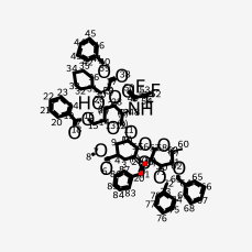 C=C[C@H]1CC(C(=O)OC)C[C@@H](O[C@@H]2OC(COC(=O)c3ccccc3)[C@H](O)C(O[C@@H](CC3CCCCC3)C(=O)OCc3ccccc3)[C@H]2NC(=O)C(F)(F)F)C1OC1O[C@@H](C)C(OCc2ccccc2)C(OCc2ccccc2)[C@@H]1OCc1ccccc1